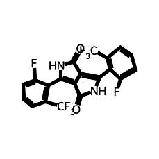 O=C1NC(c2c(F)cccc2C(F)(F)F)=C2C(=O)NC(c3c(F)cccc3C(F)(F)F)=C12